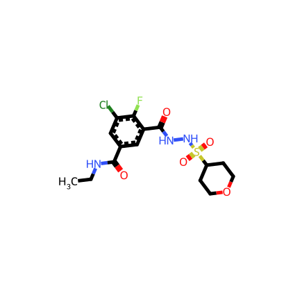 CCNC(=O)c1cc(Cl)c(F)c(C(=O)NNS(=O)(=O)C2CCOCC2)c1